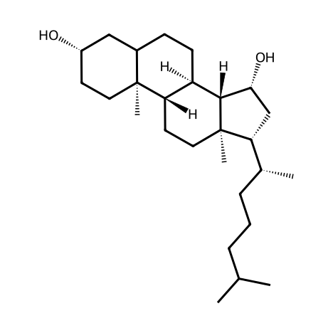 CC(C)CCC[C@@H](C)[C@H]1C[C@@H](O)[C@H]2[C@@H]3CCC4C[C@@H](O)CC[C@]4(C)[C@H]3CC[C@@]21C